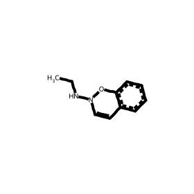 CCNN1C=Cc2ccccc2O1